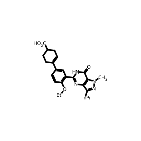 CCCc1nn(C)c2c(=O)[nH]c(-c3cc(C4=CCC(C(=O)O)CC4)ccc3OCC)nc12